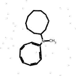 CN(c1ccccccccc1)C1CCCCCCCCC1